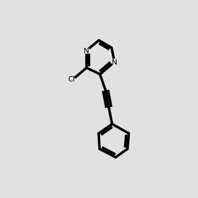 Clc1nccnc1C#Cc1ccccc1